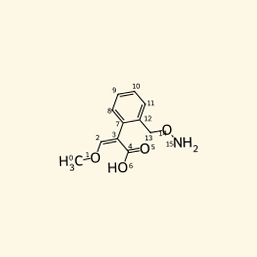 CO/C=C(\C(=O)O)c1ccccc1CON